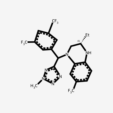 CC[C@H]1CN(C(c2cc(C(F)(F)F)cc(C(F)(F)F)c2)c2nnn(C)n2)c2cc(C(F)(F)F)ccc2N1